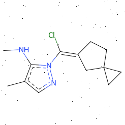 CNc1c(C)cnn1/C(Cl)=C1/CCC2(CC2)C1